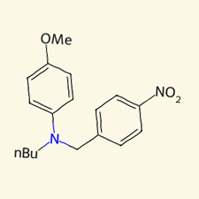 CCCCN(Cc1ccc([N+](=O)[O-])cc1)c1ccc(OC)cc1